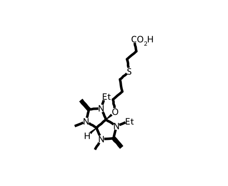 C=C1N(C)[C@H]2N(C)C(=C)N(CC)[C@@]2(OCCCSCCC(=O)O)N1CC